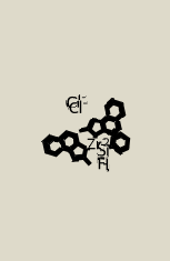 CC1=Cc2c(ccc3ccccc23)[CH]1[Zr+2]([CH]1C(C)=Cc2c1ccc1ccccc21)[SiH](C)c1ccccc1.[Cl-].[Cl-]